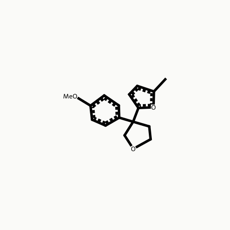 COc1ccc(C2(c3ccc(C)o3)CCOC2)cc1